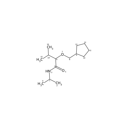 CC(C)NC(=O)C(OCC1CCCC1)C(C)C